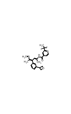 C=N/C(C)=C(\C=C(/C)NC(=O)c1ccnc(C(C)(F)F)c1)c1cccc(C2COC2)c1